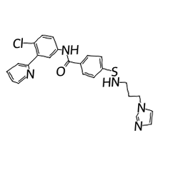 O=C(Nc1ccc(Cl)c(-c2ccccn2)c1)c1ccc(SNCCCn2ccnc2)cc1